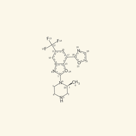 C[C@H]1CNCCN1c1nc2cc(C(F)(F)F)cc(-c3ncco3)c2o1